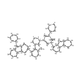 c1ccc(C2=NC(c3cccc4c3sc3cccc(-c5ccc6c(c5)c5ccccc5n6-c5ccccc5)c34)=NC(c3cccc4c3oc3ccccc34)N2)cc1